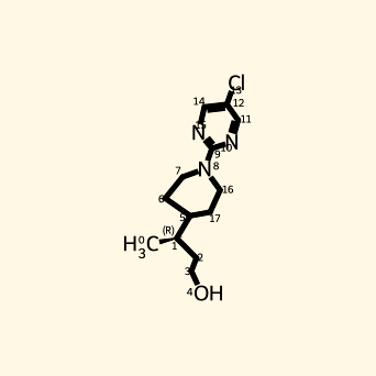 C[C@H](CCO)C1CCN(c2ncc(Cl)cn2)CC1